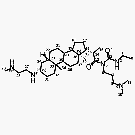 CCNC(=O)N(CCCN(C)C)C(=O)C(C)[C@H]1CCC2C3CC[C@H]4C[C@@H](NCCNC)CCC4(C)C3CC[C@@]21C